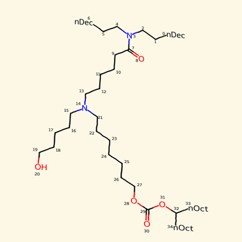 CCCCCCCCCCCCN(CCCCCCCCCCCC)C(=O)CCCCCN(CCCCCO)CCCCCCCOC(=O)OC(CCCCCCCC)CCCCCCCC